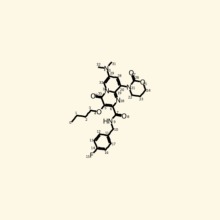 CCCCOc1c(C(=O)NCc2ccc(F)cc2)nc2c(N3CCCOC3=O)cc(N(C)C)cn2c1=O